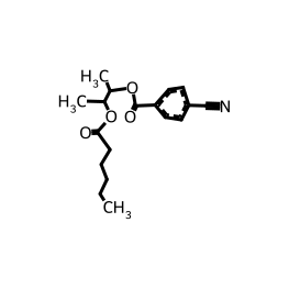 CCCCCC(=O)OC(C)C(C)OC(=O)c1ccc(C#N)cc1